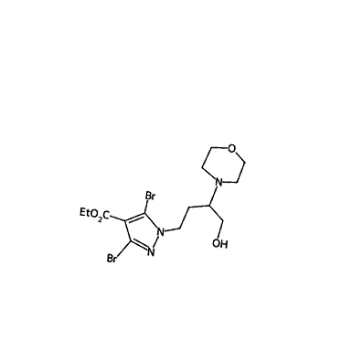 CCOC(=O)c1c(Br)nn(CCC(CO)N2CCOCC2)c1Br